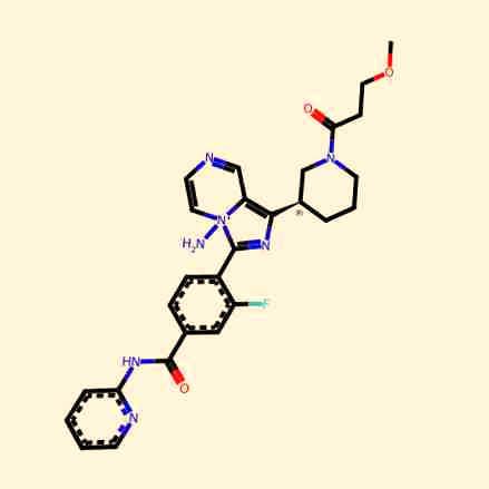 COCCC(=O)N1CCC[C@@H](C2=C3C=NC=C[N+]3(N)C(c3ccc(C(=O)Nc4ccccn4)cc3F)=N2)C1